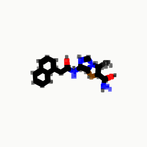 NC(=O)c1sc2c(NC(=O)Cc3cccc4ccccc34)ncn2c1C(F)(F)F